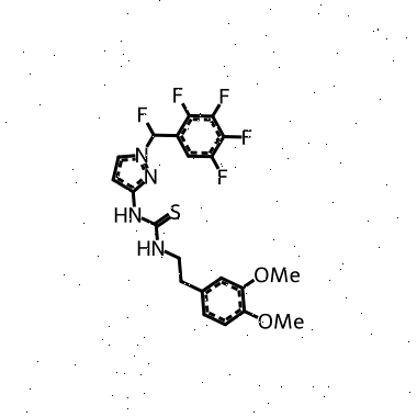 COc1ccc(CCNC(=S)Nc2ccn(C(F)c3cc(F)c(F)c(F)c3F)n2)cc1OC